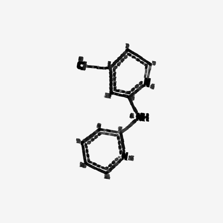 Clc1ccnc(Nc2ccccn2)c1